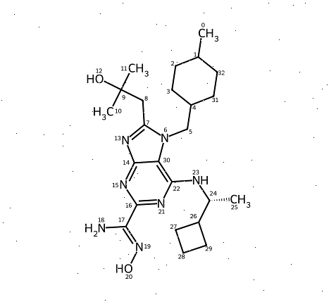 CC1CCC(Cn2c(CC(C)(C)O)nc3nc(C(N)=NO)nc(N[C@H](C)C4CCC4)c32)CC1